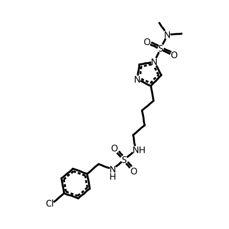 CN(C)S(=O)(=O)n1cnc(CCCCNS(=O)(=O)NCc2ccc(Cl)cc2)c1